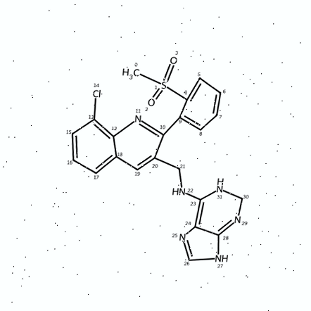 CS(=O)(=O)c1ccccc1-c1nc2c(Cl)cccc2cc1CNC1=c2nc[nH]c2=NCN1